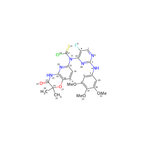 COc1cc(Nc2ncc(F)c(N(C(=S)Cl)c3ccc4c(n3)NC(=O)C(C)(C)O4)n2)cc(OC)c1OC